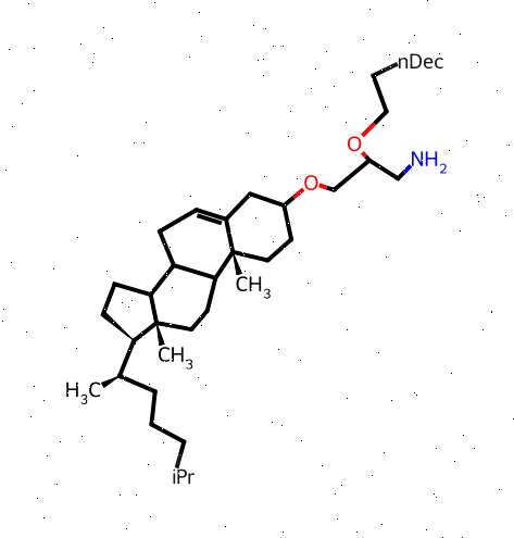 CCCCCCCCCCCCOC(CN)COC1CC[C@@]2(C)C(=CCC3C2CC[C@@]2(C)C3CC[C@@H]2[C@H](C)CCCC(C)C)C1